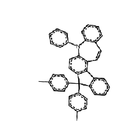 Cc1ccc(C2(c3ccc(C)cc3)c3ccccc3-c3c2ccc2c3C=Cc3ccccc3N2c2ccccc2)cc1